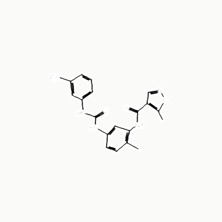 Cc1ccc(NC(=O)Nc2cccc(C(F)(F)F)c2)cc1NC(=O)c1cnoc1C